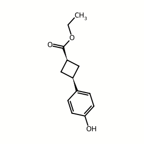 CCOC(=O)[C@H]1C[C@@H](c2ccc(O)cc2)C1